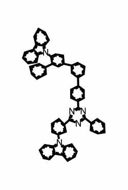 c1ccc(-c2nc(-c3ccc(-c4cccc(-c5ccc(-n6c7ccccc7c7ccccc76)c(-c6ccccc6)c5)c4)cc3)nc(-c3cccc(-n4c5ccccc5c5ccccc54)c3)n2)cc1